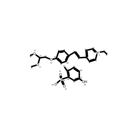 CC[n+]1ccc(C=Cc2ccc(OCC(OC)OC)cc2)cc1.Cc1ccc(O)cc1S(=O)(=O)[O-]